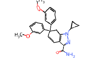 COc1cccc(C2(c3cccc(OC)c3)C=Cc3c(C(N)=O)nn(C4CC4)c3C2)c1